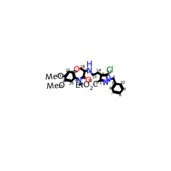 CCOC(=O)c1nn(Cc2ccccc2)c(Cl)c1CCNC1COc2cc(OC)c(OC)cc2N(C)C1=O